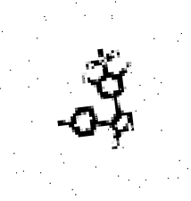 Cc1ccc(C2=C(c3cc(F)c(S(C)(=O)=O)c(F)c3)COC2=O)cc1